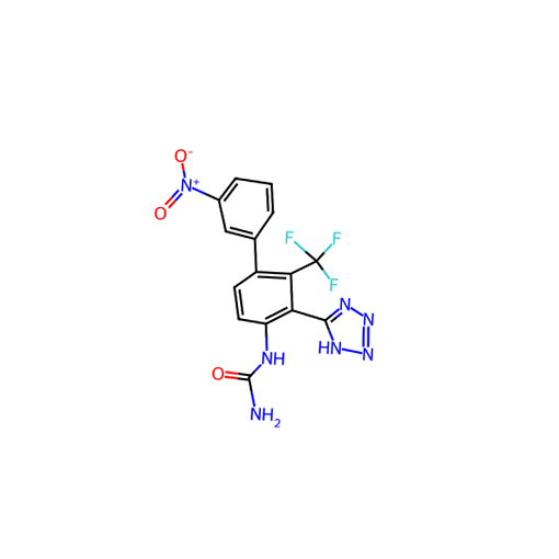 NC(=O)Nc1ccc(-c2cccc([N+](=O)[O-])c2)c(C(F)(F)F)c1-c1nnn[nH]1